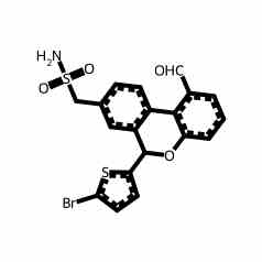 NS(=O)(=O)Cc1ccc2c(c1)C(c1ccc(Br)s1)Oc1cccc(C=O)c1-2